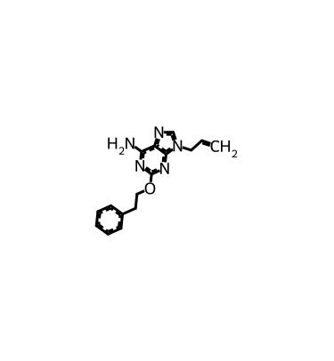 C=CCn1cnc2c(N)nc(OCCc3ccccc3)nc21